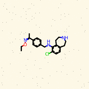 CCO/N=C(/C)c1ccc(CNc2c(Cl)ccc3c2CCNCC3)cc1